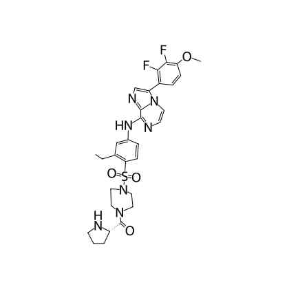 CCc1cc(Nc2nccn3c(-c4ccc(OC)c(F)c4F)cnc23)ccc1S(=O)(=O)N1CCN(C(=O)[C@@H]2CCCN2)CC1